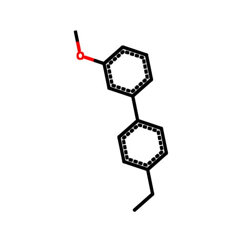 CCc1ccc(-c2cccc(OC)c2)cc1